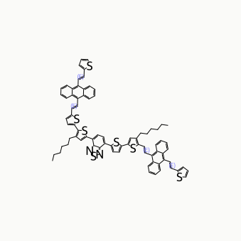 CCCCCCc1cc(-c2ccc(-c3ccc(-c4cc(CCCCCC)c(-c5ccc(/C=C/c6c7ccccc7c(/C=C/c7cccs7)c7ccccc67)s5)s4)c4nsnc34)s2)sc1/C=C/c1c2ccccc2c(/C=C/c2cccs2)c2ccccc12